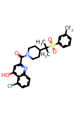 CC(C)(C1CCN(C(=O)c2cc(O)c3c(Cl)cccc3n2)CC1)S(=O)(=O)c1cccc(C(F)(F)F)c1